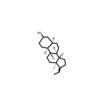 C/C=C1/CC[C@H]2[C@@H]3CC[C@@H]4CC(O)CC[C@@H]4[C@H]3CC[C@]12C